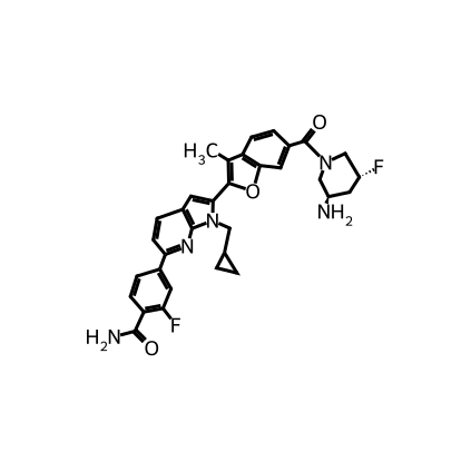 Cc1c(-c2cc3ccc(-c4ccc(C(N)=O)c(F)c4)nc3n2CC2CC2)oc2cc(C(=O)N3C[C@H](N)C[C@@H](F)C3)ccc12